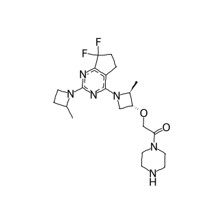 CC1CCN1c1nc(N2C[C@@H](OCC(=O)N3CCNCC3)[C@@H]2C)c2c(n1)C(F)(F)CC2